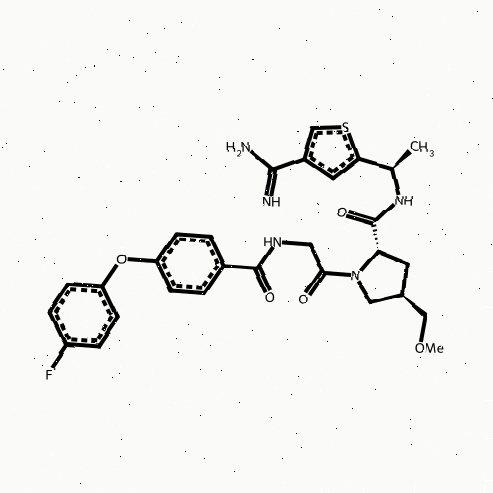 COC[C@@H]1C[C@@H](C(=O)N[C@H](C)c2cc(C(=N)N)cs2)N(C(=O)CNC(=O)c2ccc(Oc3ccc(F)cc3)cc2)C1